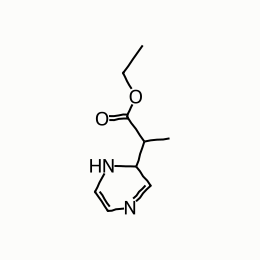 CCOC(=O)C(C)C1C=NC=CN1